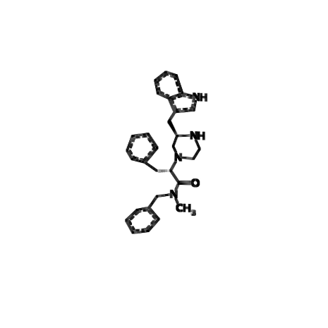 CN(Cc1ccccc1)C(=O)[C@H](Cc1ccccc1)N1CCN[C@H](Cc2c[nH]c3ccccc23)C1